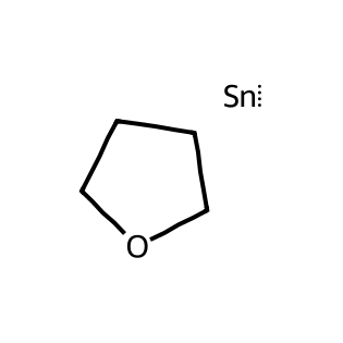 C1CCOC1.[Sn]